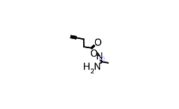 C#CCCC(=O)O/N=C(/C)N